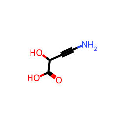 NC#CC(O)C(=O)O